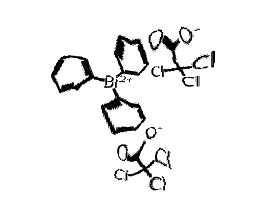 O=C([O-])C(Cl)(Cl)Cl.O=C([O-])C(Cl)(Cl)Cl.c1cc[c]([Bi+2]([c]2ccccc2)[c]2ccccc2)cc1